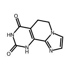 O=c1[nH]c2c(c(=O)[nH]1)CCn1ccnc1-2